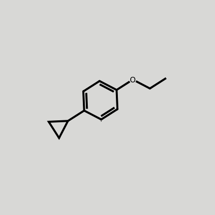 CCOc1c[c]c(C2CC2)cc1